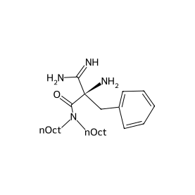 CCCCCCCCN(CCCCCCCC)C(=O)[C@@](N)(Cc1ccccc1)C(=N)N